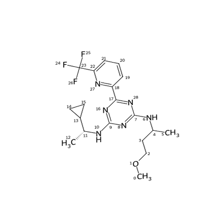 COCCC(C)Nc1nc(N[C@H](C)C2CC2)nc(-c2cccc(C(F)(F)F)n2)n1